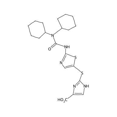 O=C(O)c1c[nH]c(Sc2cnc(NC(=O)N(C3CCCCC3)C3CCCCC3)s2)n1